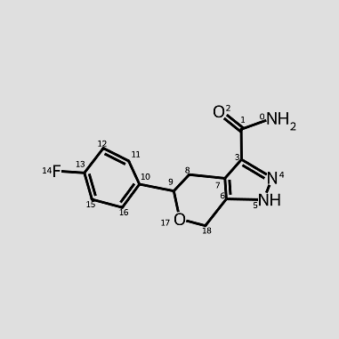 NC(=O)c1n[nH]c2c1CC(c1ccc(F)cc1)OC2